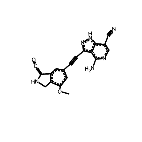 COc1cc(C#Cc2n[nH]c3c(C#N)cnc(N)c23)cc2c1CNC2=C=O